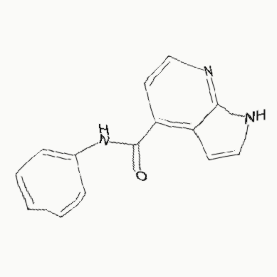 O=C(Nc1ccccc1)c1ccnc2[nH]ccc12